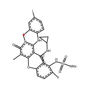 CNS(=O)(=O)Nc1c(F)ccc(Oc2c(C(=O)NC3CC3)c(Nc3ccc(I)cc3F)n(C)c(=O)c2C)c1Cl